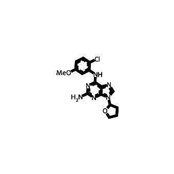 COc1ccc(Cl)c(Nc2nc(N)nc3c2ncn3C2CCCO2)c1